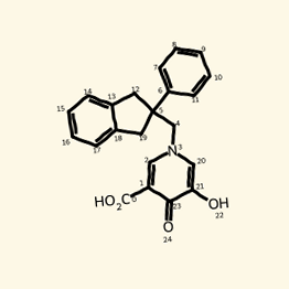 O=C(O)c1cn(CC2(c3ccccc3)Cc3ccccc3C2)cc(O)c1=O